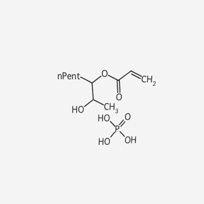 C=CC(=O)OC(CCCCC)C(C)O.O=P(O)(O)O